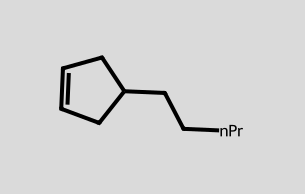 CCCCCC1CC=CC1